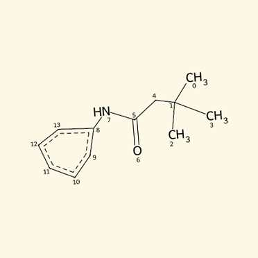 CC(C)(C)CC(=O)Nc1ccccc1